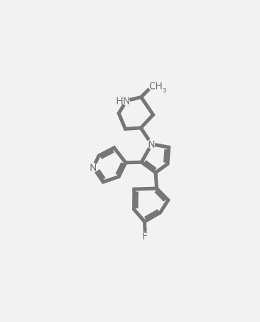 CC1CC(n2ccc(-c3ccc(F)cc3)c2-c2ccncc2)CCN1